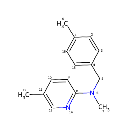 Cc1ccc(CN(C)c2ccc(C)cn2)cc1